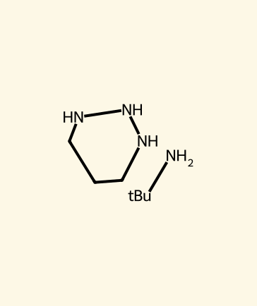 C1CNNNC1.CC(C)(C)N